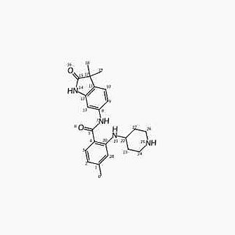 Cc1ccc(C(=O)Nc2ccc3c(c2)NC(=O)C3(C)C)c(NC2CCNCC2)c1